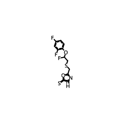 Fc1ccc(OC(F)CSCc2n[nH]c(=S)o2)c(F)c1